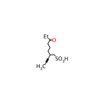 CC#CC(CCCC(=O)CC)CS(=O)(=O)O